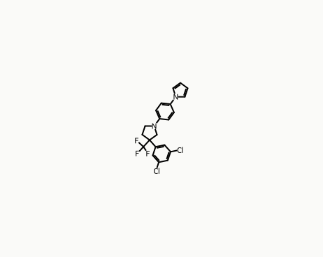 FC(F)(F)C1(c2cc(Cl)cc(Cl)c2)CCN(c2ccc(-n3cccc3)cc2)C1